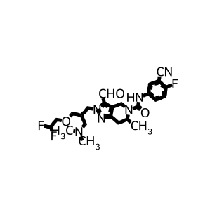 CC1Cc2nn(CC(COCC(F)F)CN(C)C)c(C=O)c2CN1C(=O)Nc1ccc(F)c(C#N)c1